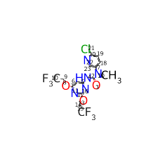 CN(C(=O)Nc1cc(OCC(F)(F)F)nc(OCC(F)(F)F)n1)c1ccc(Cl)nc1